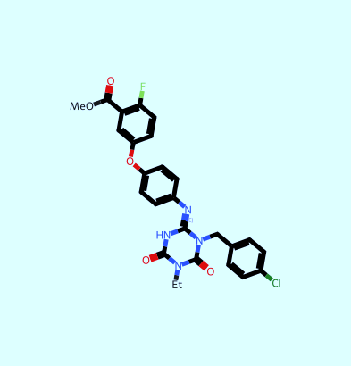 CCn1c(=O)[nH]/c(=N\c2ccc(Oc3ccc(F)c(C(=O)OC)c3)cc2)n(Cc2ccc(Cl)cc2)c1=O